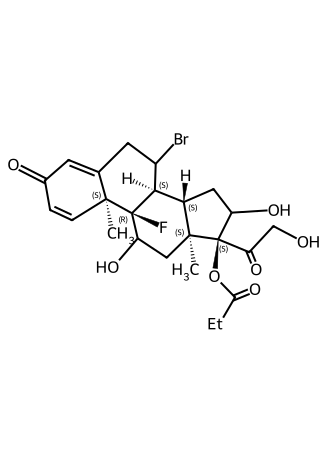 CCC(=O)O[C@]1(C(=O)CO)C(O)C[C@H]2[C@@H]3C(Br)CC4=CC(=O)C=C[C@]4(C)[C@@]3(F)C(O)C[C@@]21C